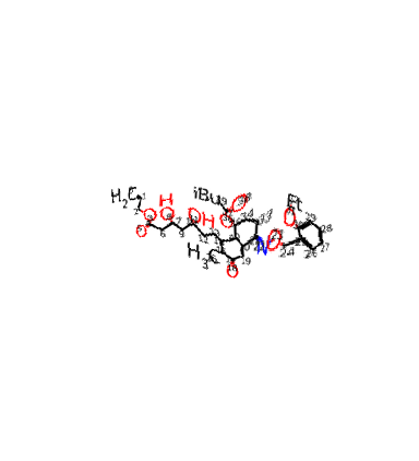 C=CCOC(=O)CC(O)CC(O)CCC1C(C)C(=O)C=C2C(=NOCc3ccccc3OCC)CCC(OC(=O)C(C)CC)C21